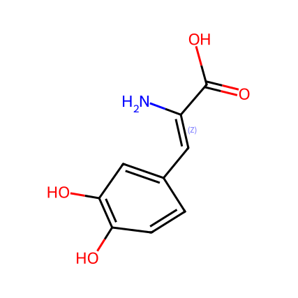 N/C(=C\c1ccc(O)c(O)c1)C(=O)O